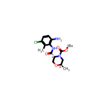 Cc1c(Cl)ccc(N)c1NC(=O)[C@H]1CO[C@H](C)CN1C(=O)OC(C)(C)C